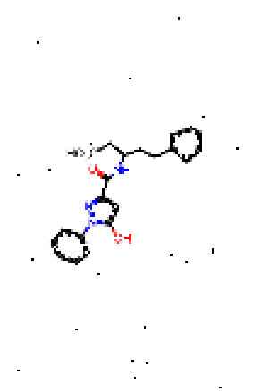 O=C(O)CC(CCc1ccccc1)NC(=O)c1cc(O)n(-c2ccccc2)n1